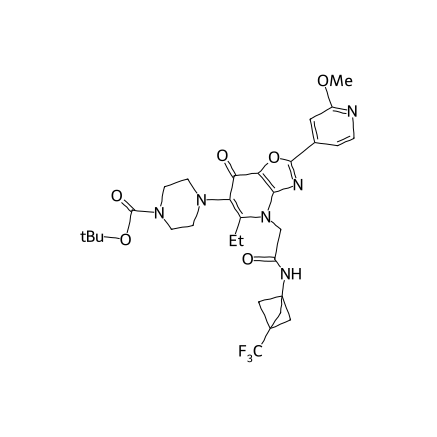 CCc1c(N2CCN(C(=O)OC(C)(C)C)CC2)c(=O)c2oc(-c3ccnc(OC)c3)nc2n1CC(=O)NC12CC(C(F)(F)F)(C1)C2